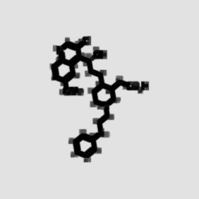 COc1ccc2ncc(Cl)c([C@H](O)CCC3CCN(CCSc4ccccc4)CC3CC(=O)O)c2c1